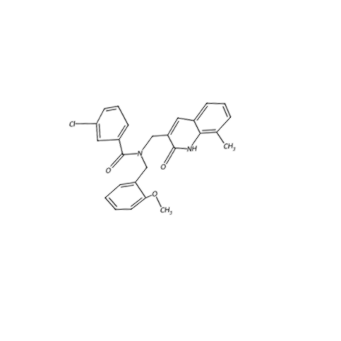 COc1ccccc1CN(Cc1cc2cccc(C)c2[nH]c1=O)C(=O)c1cccc(Cl)c1